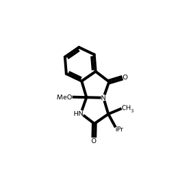 COC12NC(=O)C(C)(C(C)C)N1C(=O)c1ccccc12